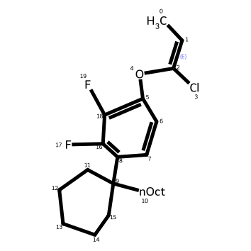 C/C=C(/Cl)Oc1ccc(C2(CCCCCCCC)CCCCC2)c(F)c1F